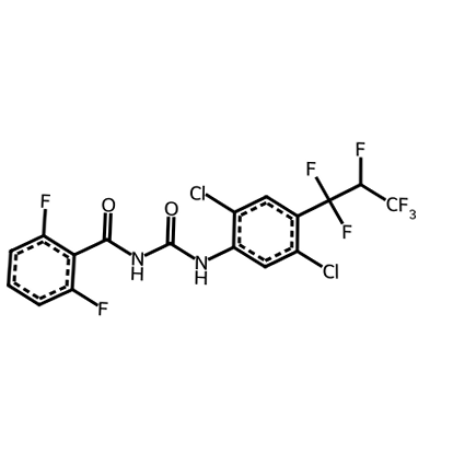 O=C(NC(=O)c1c(F)cccc1F)Nc1cc(Cl)c(C(F)(F)C(F)C(F)(F)F)cc1Cl